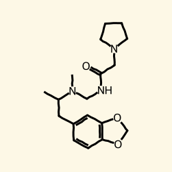 CC(Cc1ccc2c(c1)OCO2)N(C)CNC(=O)CN1CCCC1